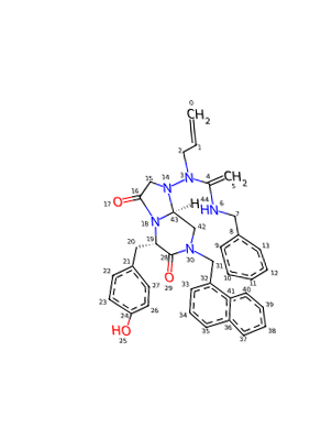 C=CCN(C(=C)NCc1ccccc1)N1CC(=O)N2[C@@H](Cc3ccc(O)cc3)C(=O)N(Cc3cccc4ccccc34)C[C@@H]21